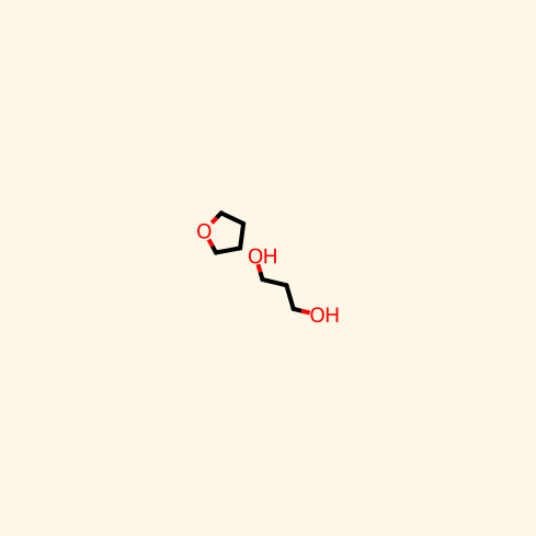 C1CCOC1.OCCCO